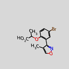 Cc1conc1-c1cc(Br)ccc1OC(C)C(=O)O